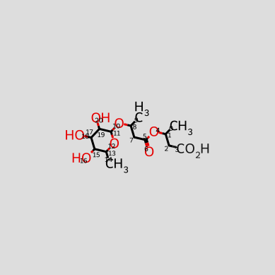 CC(CC(=O)O)OC(=O)CC(C)OC1OC(C)C(O)C(O)C1O